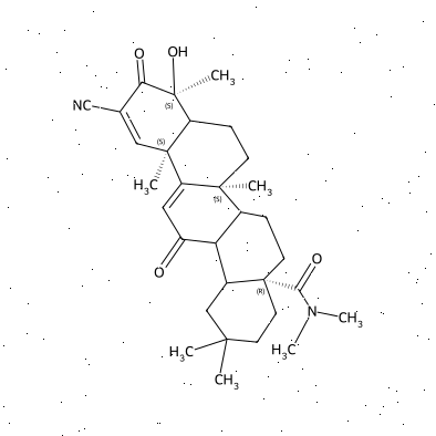 CN(C)C(=O)[C@@]12CCC3C(C(=O)C=C4[C@@]5(C)C=C(C#N)C(=O)[C@@](C)(O)C5CC[C@]43C)C1CC(C)(C)CC2